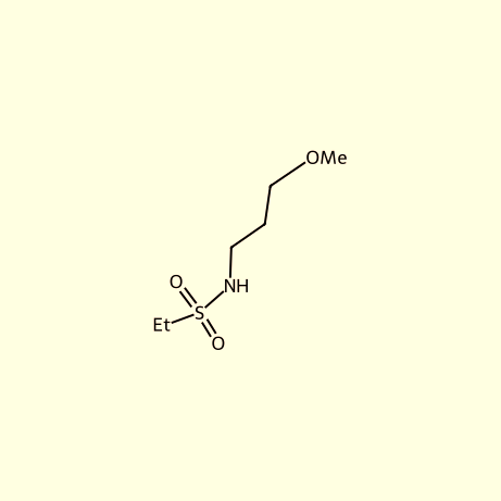 CCS(=O)(=O)NCCCOC